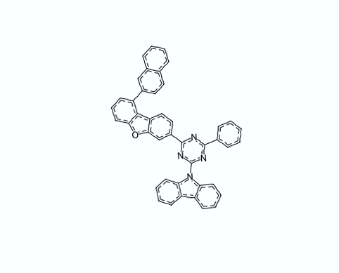 c1ccc(-c2nc(-c3ccc4c(c3)oc3cccc(-c5ccc6ccccc6c5)c34)nc(-n3c4ccccc4c4ccccc43)n2)cc1